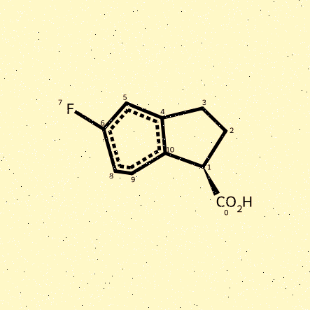 O=C(O)[C@@H]1CCc2cc(F)ccc21